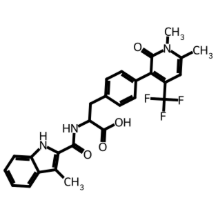 Cc1c(C(=O)NC(Cc2ccc(-c3c(C(F)(F)F)cc(C)n(C)c3=O)cc2)C(=O)O)[nH]c2ccccc12